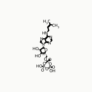 CC(C)=CCNc1ncnc2c1ncn2[C@@H]1O[C@H](COP2(=O)OP(=O)(O)OP(=O)(O)O2)C(O)[C@@H]1O